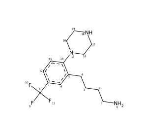 NCCCCc1cc(C(F)(F)F)ccc1N1CCNCC1